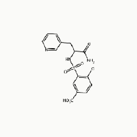 NC(=O)C(Cc1cccnc1)NS(=O)(=O)c1cc(C(=O)O)ccc1Cl